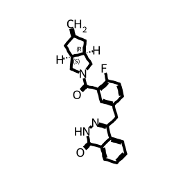 C=C1C[C@@H]2CN(C(=O)c3cc(Cc4n[nH]c(=O)c5ccccc45)ccc3F)C[C@@H]2C1